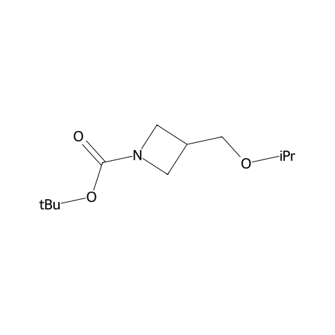 CC(C)OCC1CN(C(=O)OC(C)(C)C)C1